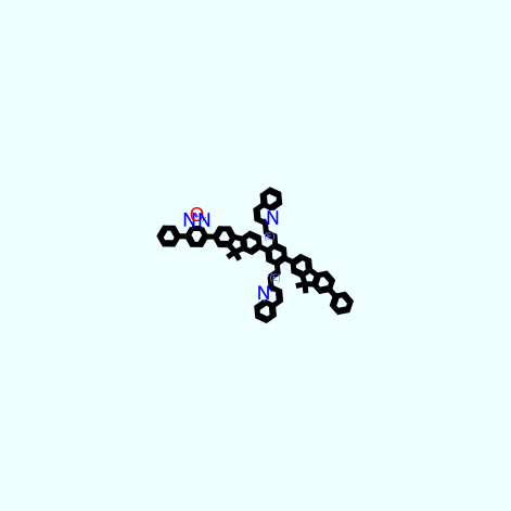 CC1(C)c2cc(-c3ccccc3)ccc2-c2ccc(-c3cc(/C=C/c4ccc5ccccc5n4)c(-c4ccc5c(c4)C(C)(C)c4cc(-c6ccc(-c7ccccc7)c7nonc67)ccc4-5)cc3/C=C/c3ccc4ccccc4n3)cc21